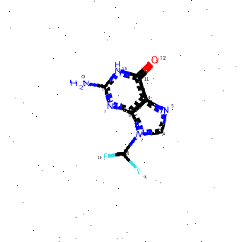 Nc1nc2c(ncn2C(F)F)c(=O)[nH]1